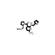 COC[C@H]1CCCN1C(=O)c1ccc(C)nc1NCc1ccco1